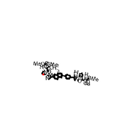 CC[C@H](C)[C@H](NC(=O)OC)C(=O)N1CCC[C@H]1c1ncc(-c2ccc(-c3ccc4cc(-c5cnc([C@@H]6CCCN6C(=O)[C@@H](NC(=O)OC)[C@@H](C)OC)[nH]5)ccc4c3)cc2)[nH]1